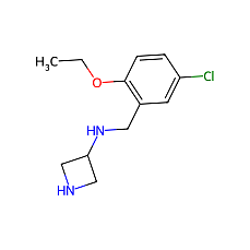 CCOc1ccc(Cl)cc1CNC1CNC1